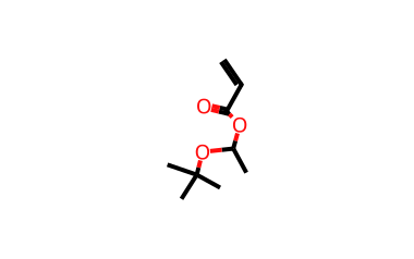 C=CC(=O)OC(C)OC(C)(C)C